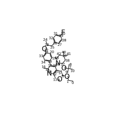 CCOC(=O)C(OC(C)(C)C)c1c(C)nc(C)c(-c2ccc(OC(C)Cc3ccc(F)cc3)cc2)c1N1CCC(C)(C)CC1